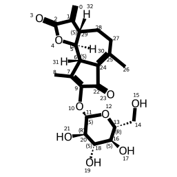 C=C1C(=O)O[C@@H]2[C@H]3C(C)=C(O[C@@H]4O[C@H](CO)[C@@H](O)[C@H](O)[C@H]4O)C(=O)C3=C(C)CC[C@@H]12